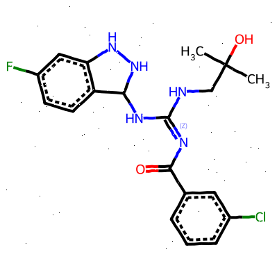 CC(C)(O)CN/C(=N/C(=O)c1cccc(Cl)c1)NC1NNc2cc(F)ccc21